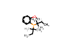 CCC(C)(C)P(c1ccccc1OC)C(C)(C)CC